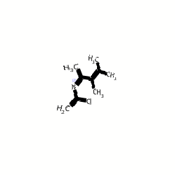 C=C(Cl)/N=C(/C)C(C)=C(C)C